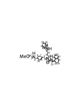 COCCNCc1ccc(CCN(CCCCNc2ncccn2)C(=O)NC(C)c2cccc3ccccc23)cc1